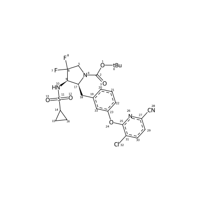 CC(C)(C)OC(=O)N1CC(F)(F)[C@H](NS(=O)(=O)C2CC2)[C@@H]1Cc1cccc(Oc2nc(C#N)ccc2Cl)c1